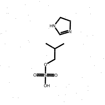 C1=NCCN1.CC(C)COS(=O)(=O)O